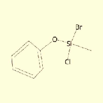 C[Si](Cl)(Br)Oc1ccccc1